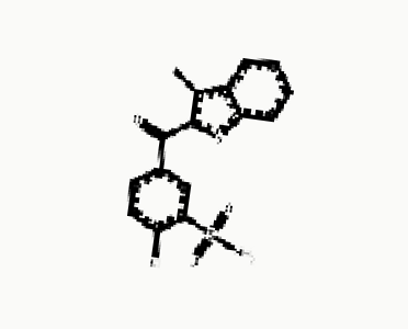 Cc1c(C(=O)c2ccc(Cl)c(S(N)(=O)=O)c2)sc2ccccc12